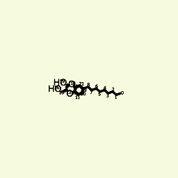 CCCCCCCCCc1ccc(OC(CO)C(=O)O)cc1